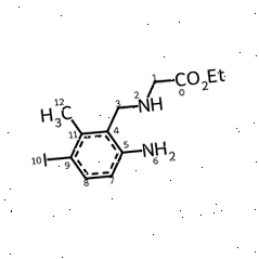 CCOC(=O)CNCc1c(N)ccc(I)c1C